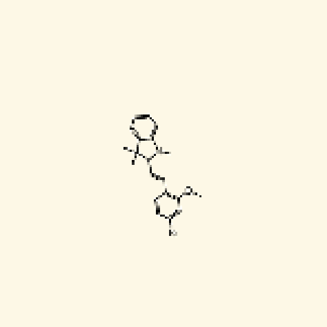 COc1cc(Br)ccc1C=CC1N(C)c2ccccc2C1(C)C